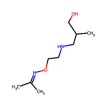 CC(C)=NOCCNCC(C)CO